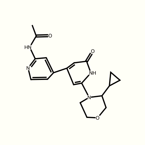 CC(=O)Nc1cc(-c2cc(N3CCOCC3C3CC3)[nH]c(=O)c2)ccn1